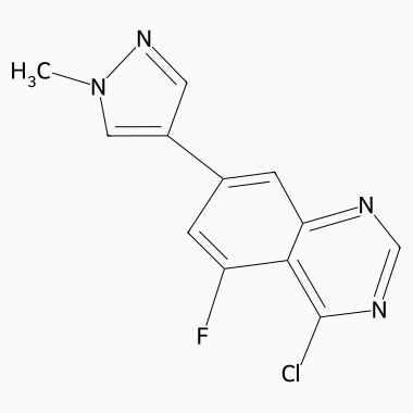 Cn1cc(-c2cc(F)c3c(Cl)ncnc3c2)cn1